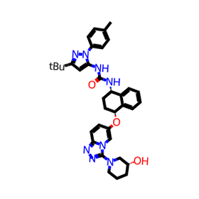 Cc1ccc(-n2nc(C(C)(C)C)cc2NC(=O)N[C@H]2CC[C@@H](Oc3ccc4nnc(N5CCC[C@@H](O)C5)n4c3)c3ccccc32)cc1